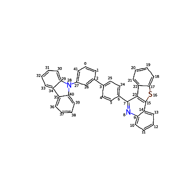 c1cc(-c2ccc(-c3nc4ccccc4c4sc5ccccc5c34)cc2)cc(-n2c3ccccc3c3ccccc32)c1